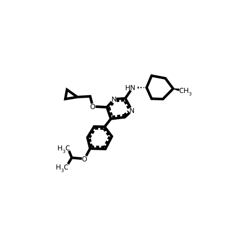 CC(C)Oc1ccc(-c2cnc(N[C@H]3CC[C@H](C)CC3)nc2OCC2CC2)cc1